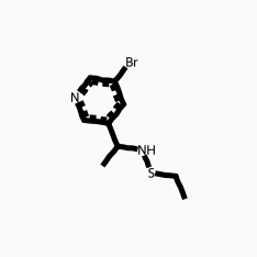 CCSNC(C)c1cncc(Br)c1